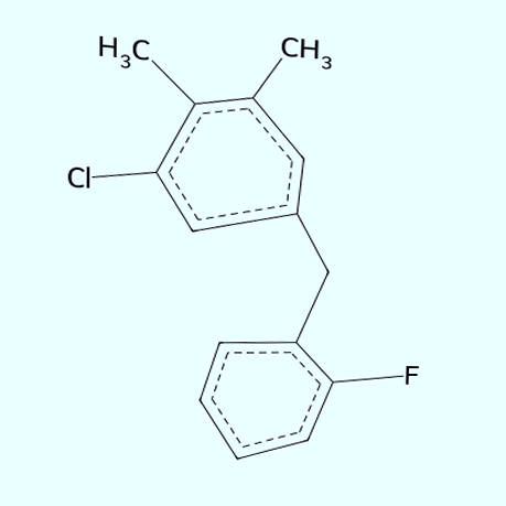 Cc1cc(Cc2ccccc2F)cc(Cl)c1C